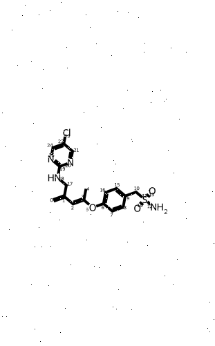 C=C(/C=C(\C)Oc1ccc(CS(N)(=O)=O)cc1)CNc1ncc(Cl)cn1